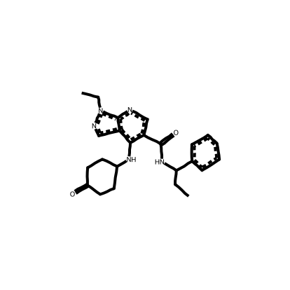 CCC(NC(=O)c1cnc2c(cnn2CC)c1NC1CCC(=O)CC1)c1ccccc1